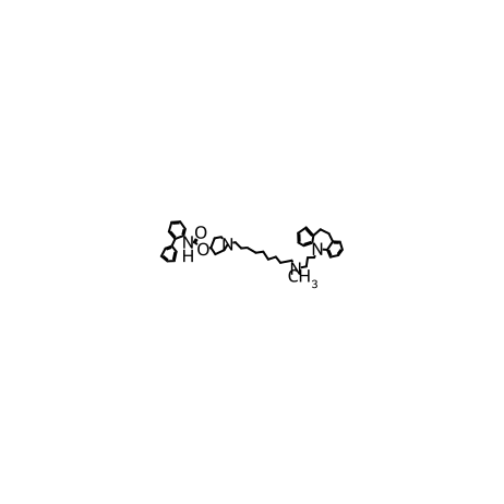 CN(CCCCCCCCCN1CCC(OC(=O)Nc2ccccc2-c2ccccc2)CC1)CCCN1c2ccccc2CCc2ccccc21